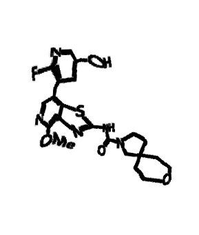 COc1ncc(-c2cc(O)cnc2F)c2sc(NC(=O)N3CCC4(CCOCC4)C3)nc12